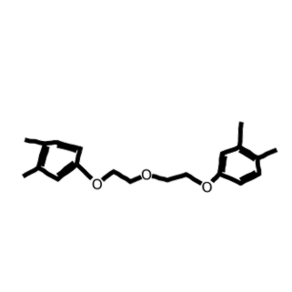 Cc1ccc(OCCOCCOc2ccc(C)c(C)c2)cc1C